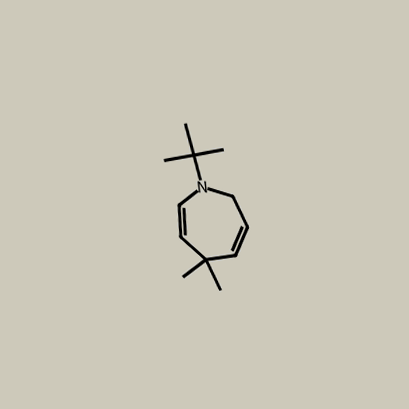 CC1(C)C=CCN(C(C)(C)C)C=C1